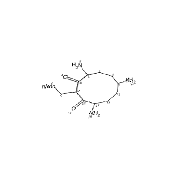 CCCCCCCCCCC1C(=O)C(N)CCC(N)CCC(N)C1=O